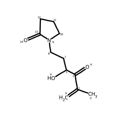 C=C(C)C(=O)C(O)CCN1CCCC1=O